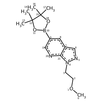 COCCn1ncc2cc(B3OC(C)(C)C(C)(C)O3)cnc21